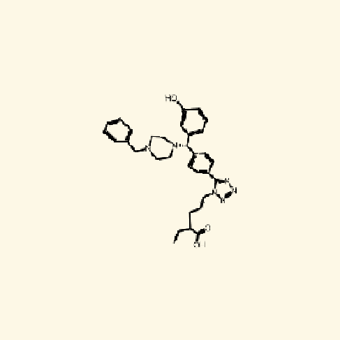 CCC(CCCn1nnnc1-c1ccc([C@@H](c2cccc(O)c2)N2CCN(Cc3ccccc3)CC2)cc1)C(=O)O